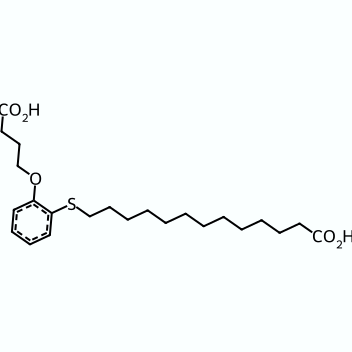 O=C(O)CCCCCCCCCCCCSc1ccccc1OCCCC(=O)O